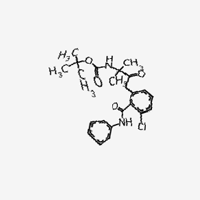 CC(C)(C)OC(=O)NC(C)(C)C(=O)Cc1cccc(Cl)c1C(=O)Nc1ccccc1